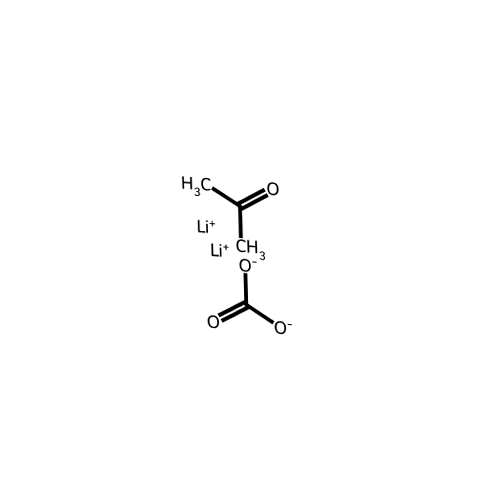 CC(C)=O.O=C([O-])[O-].[Li+].[Li+]